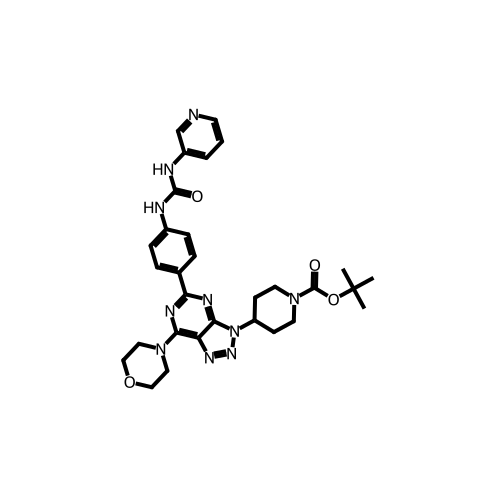 CC(C)(C)OC(=O)N1CCC(n2nnc3c(N4CCOCC4)nc(-c4ccc(NC(=O)Nc5cccnc5)cc4)nc32)CC1